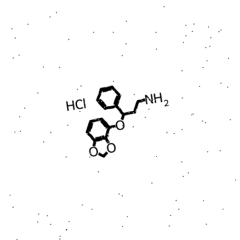 Cl.NCCC(Oc1cccc2c1OCO2)c1ccccc1